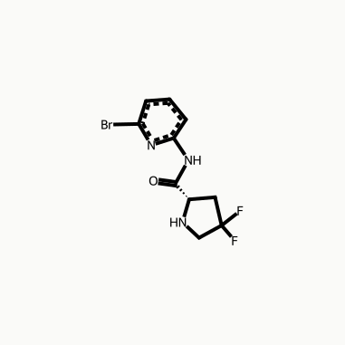 O=C(Nc1cccc(Br)n1)[C@@H]1CC(F)(F)CN1